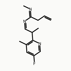 C=CCC(/N=C\C(C)c1ncc(F)cc1C)=N/C